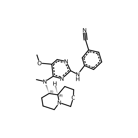 COc1cnc(Nc2cccc(C#N)c2)nc1N(C)[C@H]1CCCN2CCCC[C@H]12